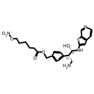 NC[C@H](c1ccc(COC(=O)CCCCCO[N+](=O)[O-])cc1)[C@H](O)Nc1cc2ccncc2s1